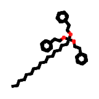 CCCCCCCCCCCCCCCC[Si](OCCc1ccccc1)(OCCc1ccccc1)OCCc1ccccc1